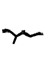 [CH2]CCC(C)OCCCCC